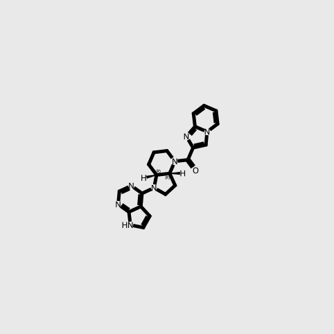 O=C(c1cn2ccccc2n1)N1CCC[C@@H]2[C@H]1CCN2c1ncnc2[nH]ccc12